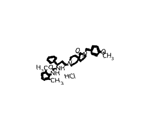 COc1ccc(CN2CCC3(CCN(CCC(NC(=O)Nc4c(C)cccc4C)c4ccccc4)CC3)C2=O)cc1.Cl